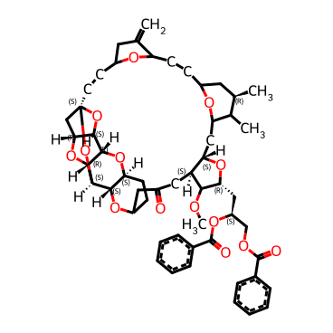 C=C1CC2CC[C@@]34C[C@H]5O[C@H]6[C@@H](O3)[C@H]3OC(CC[C@@H]3O[C@H]6[C@H]5O4)CC(=O)C[C@@H]3C(OC)[C@@H](C[C@@H](COC(=O)c4ccccc4)OC(=O)c4ccccc4)O[C@H]3CC3OC(CCC1O2)C[C@@H](C)C3C